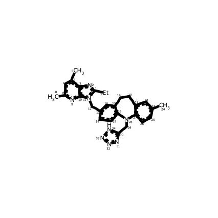 CCc1nc2c(C)cc(C)nc2n1Cc1ccc2c(c1)CCc1cc(C)ccc1N2Cc1nnn[nH]1